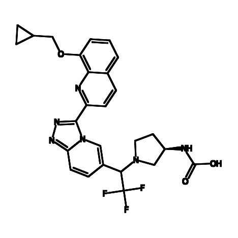 O=C(O)N[C@@H]1CCN(C(c2ccc3nnc(-c4ccc5cccc(OCC6CC6)c5n4)n3c2)C(F)(F)F)C1